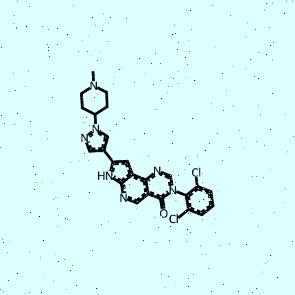 CN1CCC(n2cc(-c3cc4c(ncc5c(=O)n(-c6c(Cl)cccc6Cl)cnc54)[nH]3)cn2)CC1